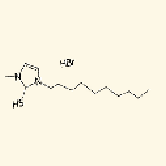 Br.CCCCCCCCCCN1C=CN(C)C1S